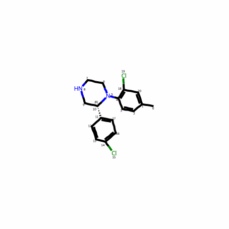 Cc1ccc(N2CCNC[C@H]2c2ccc(Cl)cc2)c(Cl)c1